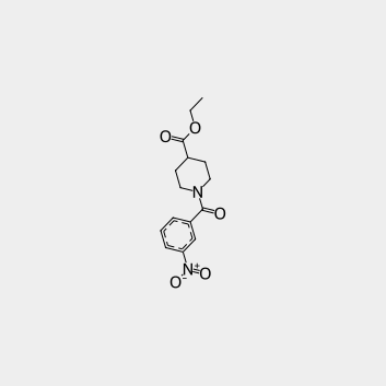 CCOC(=O)C1CCN(C(=O)c2cccc([N+](=O)[O-])c2)CC1